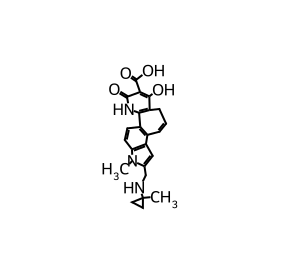 Cn1c(CNC2(C)CC2)cc2c3c(ccc21)-c1[nH]c(=O)c(C(=O)O)c(O)c1CC=C3